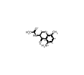 CC(=O)NC1CSc2c(C)ccc(N)c2C1=O